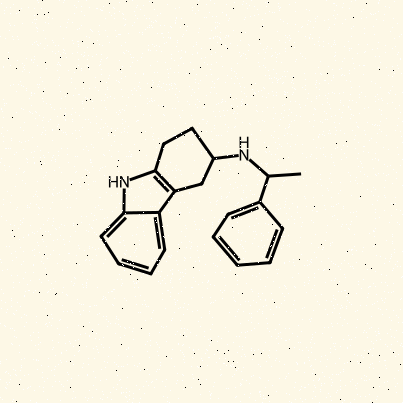 CC(NC1CCc2[nH]c3ccccc3c2C1)c1ccccc1